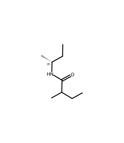 CCC(C)C(=O)N[C@H](C)CC